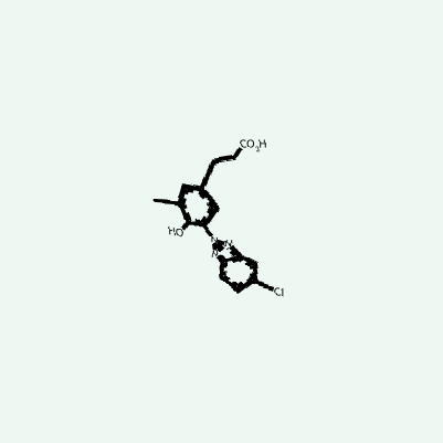 Cc1cc(CCC(=O)O)cc(-n2n3c4ccc(Cl)cc4n23)c1O